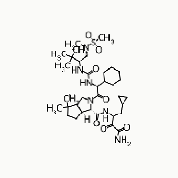 CN(C[C@@H](NC(=O)N[C@H](C(=O)N1C[C@H]2[C@H](CCC2(C)C)[C@H]1C(=O)NC(CC1CC1)C(=O)C(N)=O)C1CCCCC1)C(C)(C)C)S(C)(=O)=O